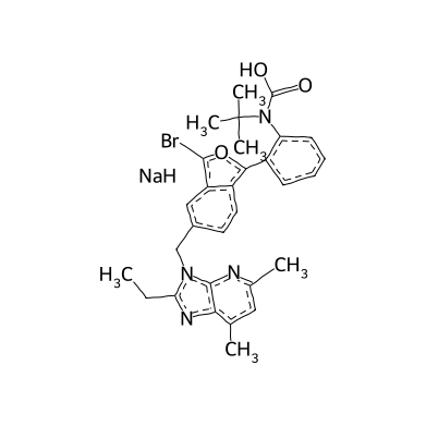 CCc1nc2c(C)cc(C)nc2n1Cc1ccc2c(-c3ccccc3N(C(=O)O)C(C)(C)C)oc(Br)c2c1.[NaH]